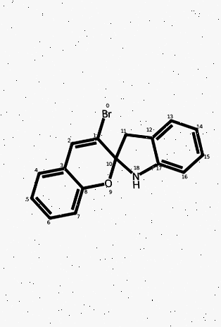 BrC1=Cc2ccccc2OC12Cc1ccccc1N2